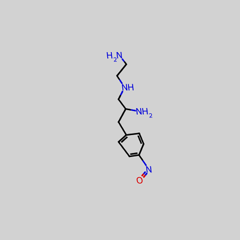 NCCNCC(N)Cc1ccc(N=O)cc1